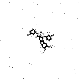 COc1cc2cc(CC(C)(C(=O)Nc3cccc(Br)c3)C(=O)Nc3cccc(Br)c3)sc2cc1OC